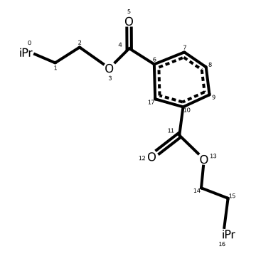 CC(C)CCOC(=O)c1cccc(C(=O)OCCC(C)C)c1